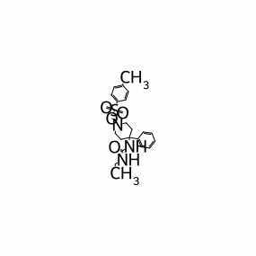 CCNC(=O)NC1(c2ccccc2)CCN(OS(=O)(=O)c2ccc(C)cc2)CC1